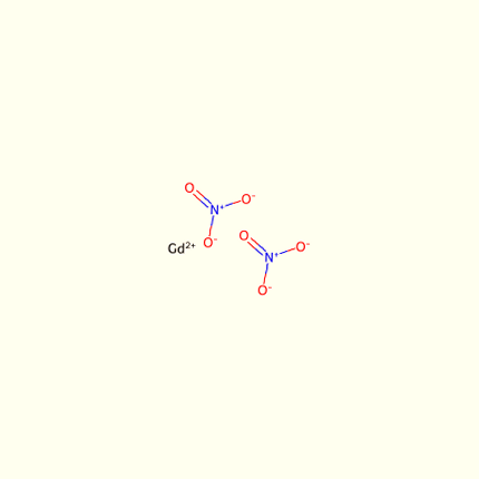 O=[N+]([O-])[O-].O=[N+]([O-])[O-].[Gd+2]